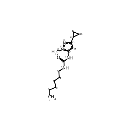 CCCCCCNC(=O)Nc1cc(C2CC2)nn1C